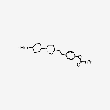 CCCCCC[C@H]1CC[C@H]([C@H]2CC[C@H](CCc3ccc(OC(=O)CCC)cc3)CC2)CC1